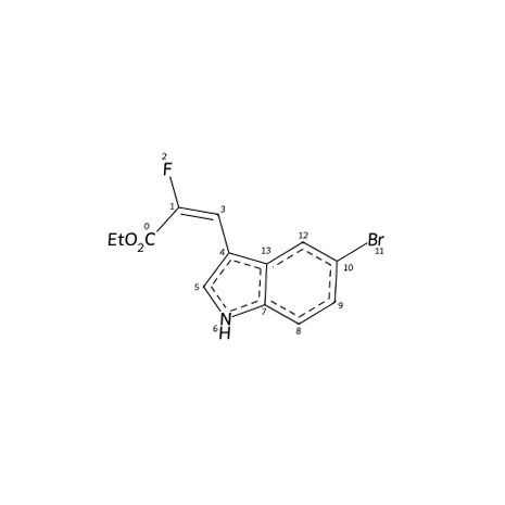 CCOC(=O)/C(F)=C\c1c[nH]c2ccc(Br)cc12